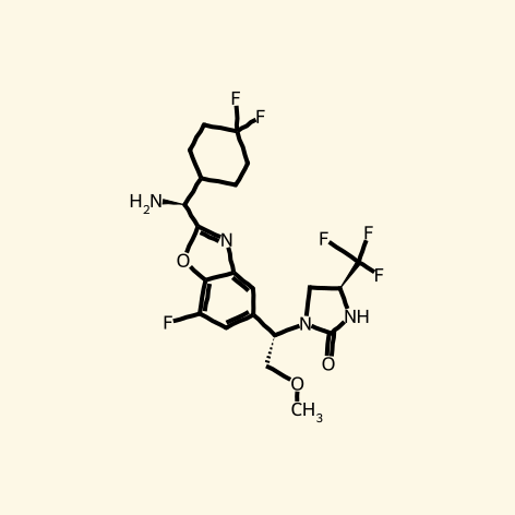 COC[C@H](c1cc(F)c2oc([C@@H](N)C3CCC(F)(F)CC3)nc2c1)N1C[C@@H](C(F)(F)F)NC1=O